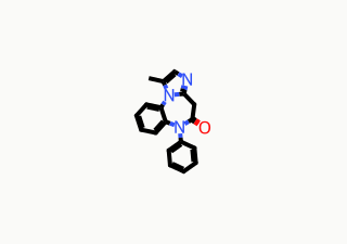 Cc1cnc2n1-c1ccccc1N(c1ccccc1)C(=O)C2